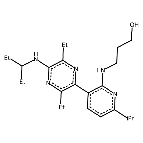 CCc1nc(-c2ccc(C(C)C)nc2NCCCO)c(CC)nc1NC(CC)CC